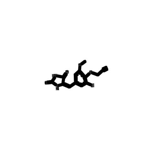 C#CCOc1c(Cl)cc(C=C2NC(=O)NC2=O)cc1OC